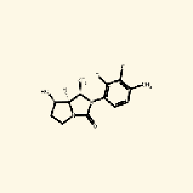 Cc1ccc(N2C(=O)N3CC[C@@H](O)[C@H]3[C@H]2C(F)(F)F)c(F)c1Cl